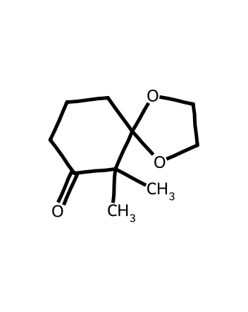 CC1(C)C(=O)CCCC12OCCO2